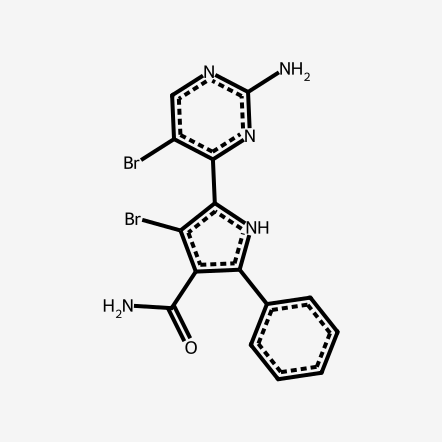 NC(=O)c1c(-c2ccccc2)[nH]c(-c2nc(N)ncc2Br)c1Br